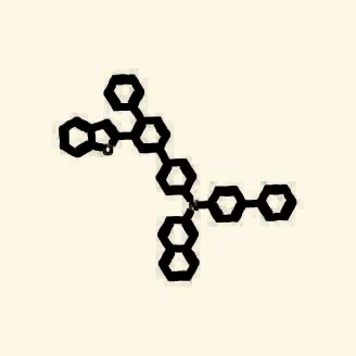 c1ccc(-c2ccc(N(c3ccc(-c4ccc(-c5ccccc5)c(-c5cc6ccccc6o5)c4)cc3)c3ccc4ccccc4c3)cc2)cc1